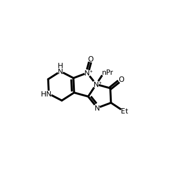 CCC[N+]12C(=O)C(CC)N=C1C1=C(NCNC1)[N+]2=O